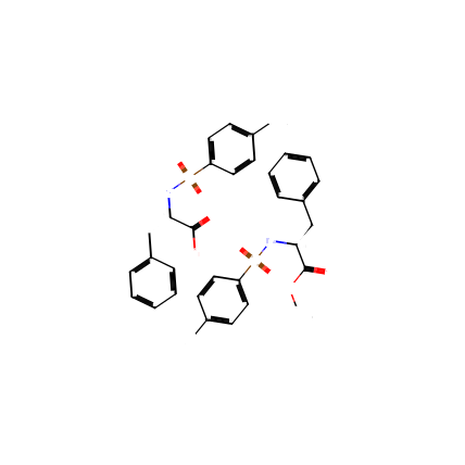 COC(=O)[C@H](Cc1ccccc1)NS(=O)(=O)c1ccc(C)cc1.Cc1ccc(S(=O)(=O)N[C@@H](Cc2ccccc2)C(=O)O)cc1